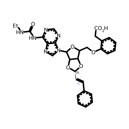 CCNC(=O)Nc1ncnc2c1ncn2C1OC(COc2ccccc2CC(=O)O)C2O[C@H](/C=C/c3ccccc3)OC21